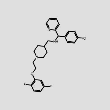 Fc1ccc(F)c(OCCN2CCC(CNC(c3ccc(Cl)cc3)c3ccccn3)CC2)c1